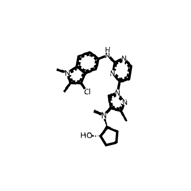 Cc1nn(-c2ccnc(Nc3ccc4c(c3)c(Cl)c(C)n4C)n2)cc1N(C)[C@H]1CCC[C@@H]1O